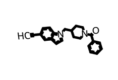 C#Cc1ccc2c(ccn2CC2CCN(C(=O)c3ccccc3)CC2)c1